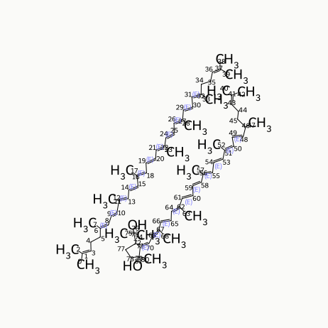 CC(C)=CCC/C(C)=C/C=C/C(C)=C/C=C/C(C)=C/C=C/C=C(C)/C=C/C=C(C)/C=C/C=C(\C)CCC=C(C)C.CC(C)=CCCC(C)/C=C/C=C(C)/C=C/C=C(C)/C=C/C=C/C(C)=C/C=C/C(C)=C/C=C1\C(C(C)(C)O)CCC1(C)O